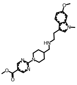 COC(=O)c1cnc(N2CCC(CNCCc3cn(C)c4cc(OC)ccc34)CC2)nc1